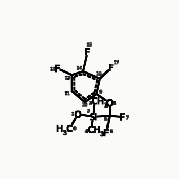 CO[Si](C)(C)C(F)(F)Oc1ccc(F)c(F)c1F